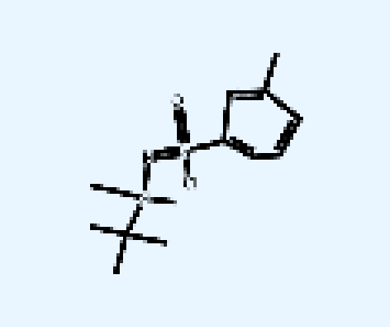 Cc1cccc(S(=O)(Cl)=N[Si](C)(C)C(C)(C)C)c1